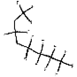 FC(F)(I)CC(F)(F)CC(F)(F)C(F)(F)C(F)(F)C(F)(F)F